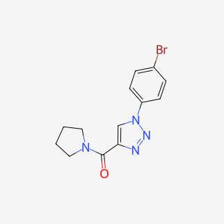 O=C(c1cn(-c2ccc(Br)cc2)nn1)N1CCCC1